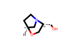 OC[C@@H]1CO[C@H]2CCN1C2